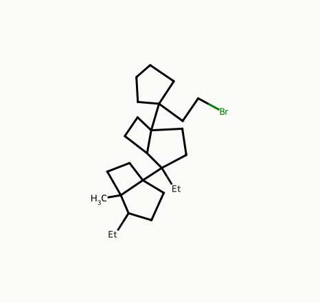 CCC1CCC2(C3(CC)CCC4(C5(CCBr)CCCC5)CCC43)CCC12C